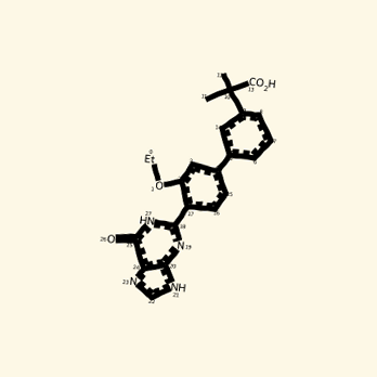 CCOc1cc(-c2cccc(C(C)(C)C(=O)O)c2)ccc1-c1nc2[nH]cnc2c(=O)[nH]1